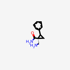 NC[C@@]1(C(N)=O)CC1c1ccccc1